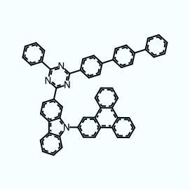 c1ccc(-c2ccc(-c3ccc(-c4nc(-c5ccccc5)nc(-c5ccc6c7ccccc7n(-c7ccc8c9ccccc9c9ccccc9c8c7)c6c5)n4)cc3)cc2)cc1